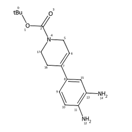 CC(C)(C)OC(=O)N1CC=C(c2ccc(N)c(N)c2)CC1